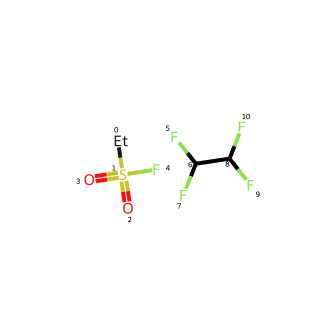 CCS(=O)(=O)F.FC(F)C(F)F